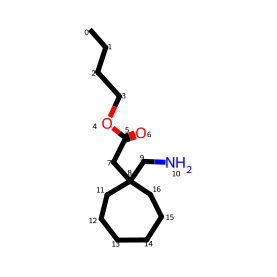 CCCCOC(=O)CC1(CN)CCCCCC1